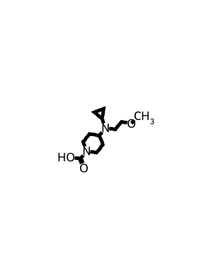 COCCN(C1CC1)C1CCN(C(=O)O)CC1